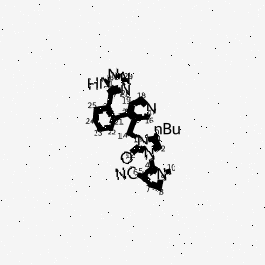 CCCCc1cn(-c2c(C#N)ccn2C)c(=O)n1Cc1cnccc1-c1ccccc1-c1nnn[nH]1